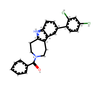 O=C(c1ccccc1)N1CCc2[nH]c3ccc(-c4ccc(Cl)cc4Cl)cc3c2CC1